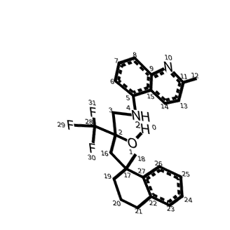 [2H]OC(CNc1cccc2nc(C)ccc12)(CC1(C)CCCc2ccccc21)C(F)(F)F